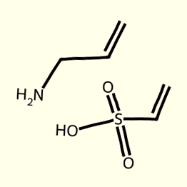 C=CCN.C=CS(=O)(=O)O